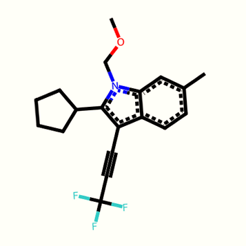 COCn1c(C2CCCC2)c(C#CC(F)(F)F)c2ccc(C)cc21